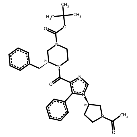 CC(=O)N1CC[C@@H](n2cnc(C(=O)N3CCN(C(=O)OC(C)(C)C)C[C@H]3Cc3ccccc3)c2-c2ccccc2)C1